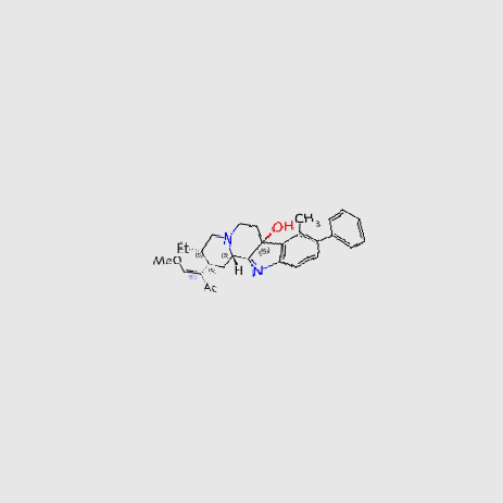 CC[C@@H]1CN2CC[C@@]3(O)C(=Nc4ccc(-c5ccccc5)c(C)c43)[C@@H]2C[C@@H]1/C(=C\OC)C(C)=O